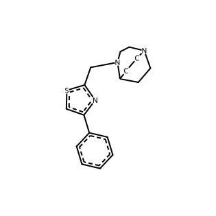 c1ccc(-c2csc(CN3CCN4CCC3CC4)n2)cc1